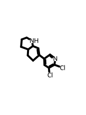 Clc1cc(C2=CC3NCCCC3CC2)cnc1Cl